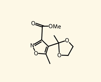 COC(=O)c1noc(C)c1C1(C)OCCO1